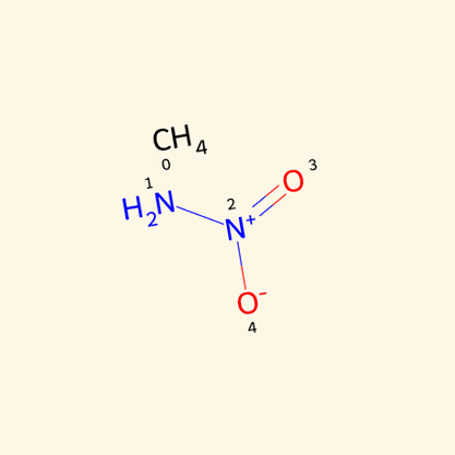 C.N[N+](=O)[O-]